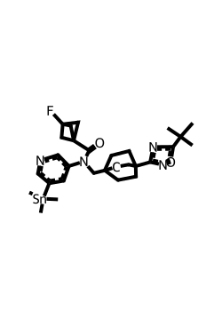 CC(C)(C)c1nc(C23CCC(CN(C(=O)C45CC(F)(C4)C5)c4cnc[c]([Sn]([CH3])([CH3])[CH3])c4)(CC2)CC3)no1